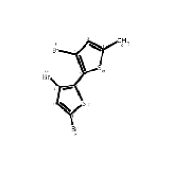 Cc1cc(Br)c(-c2sc(Br)cc2Br)s1